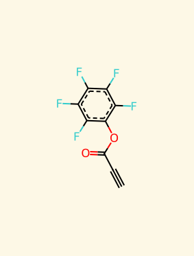 C#CC(=O)Oc1c(F)c(F)c(F)c(F)c1F